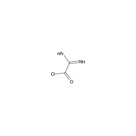 CCCC(=N)C(=O)Cl